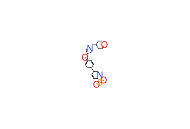 CS(=O)(=O)c1ccc(-c2ccc(OC3CN(CC4CCOCC4)C3)cc2)cn1